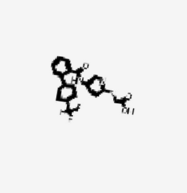 O=C(O)COc1ccc(NC(=O)c2ccccc2-c2ccc(C(F)(F)F)cc2)cn1